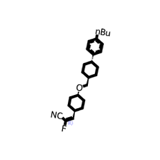 CCCCc1ccc([C@H]2CC[C@H](CO[C@H]3CC[C@H](/C=C(/F)C#N)CC3)CC2)cc1